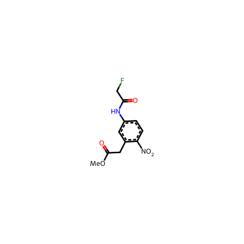 COC(=O)Cc1cc(NC(=O)CF)ccc1[N+](=O)[O-]